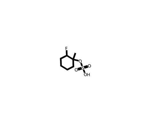 CC1(OS(=O)(=O)O)CCCCC1F